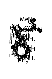 CNC(=O)c1ccccc1Sc1ccc2c(CCc3ccccn3)nn(C(=O)N(C)CCNC(=O)OCc3ccc(NC(=O)[C@H](CCCNC(N)=O)NC(=O)[C@H](NC(=O)N[C@@H](C(=O)N[C@@H](CCN)C(=O)N[C@@H]4CCNC(=O)C([C@H](C)O)NC(=O)C(CCN)NC(=O)C(CCN)NC(=O)C(CC(C)C)NC(=O)[C@H](Cc5ccccc5)NC(=O)C(CCN)NC4=O)[C@@H](C)O)C(C)C)cc3)c2c1